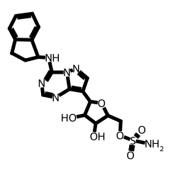 NS(=O)(=O)OCC1OC(c2cnn3c(NC4CCc5ccccc54)ncnc23)C(O)C1O